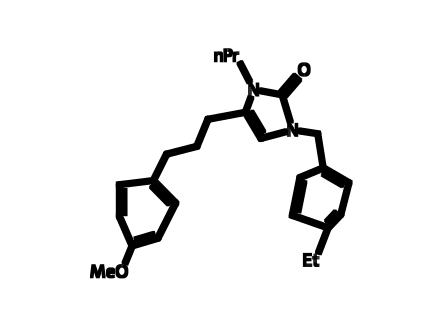 CCCn1c(CCCc2ccc(OC)cc2)cn(Cc2ccc(CC)cc2)c1=O